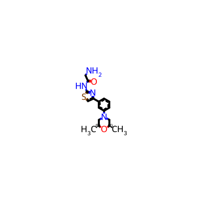 C[C@@H]1CN(c2cccc(-c3csc(NC(=O)CN)n3)c2)C[C@@H](C)O1